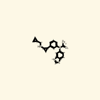 O=C(N(c1cccc(C2CC2NCC2CC2)c1)c1ccc2scnc2c1)C(F)(F)F